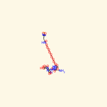 CC[C@@]1(O)C(=O)OCc2c1cc1n(c2=O)Cc2c-1nc1cc3c(cc1c2CNC(=O)CNC(=O)[C@H](CCCCN)NC(=O)[C@@H](NC(=O)COCCOCCOCCOCCOCCOCCOCCOCCOCCNC(=O)CCCC#Cc1cnc(S(C)(=O)=O)nc1)C(C)C)OCO3